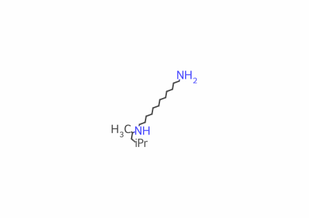 CC(C)CC(C)NCCCCCCCCCCCCN